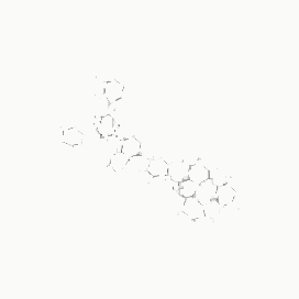 c1ccc(-c2nc(-c3ccccc3)nc(-c3ccc(-c4ccc(-c5nc6ccccc6c6c(-c7ccccc7)cccc56)cc4)c4ccccc34)n2)cc1